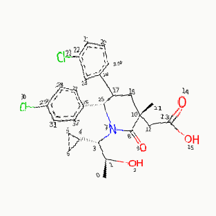 C[C@H](O)[C@H](C1CC1)N1C(=O)[C@@](C)(CC(=O)O)CC(c2cccc(Cl)c2)[C@H]1c1ccc(Cl)cc1